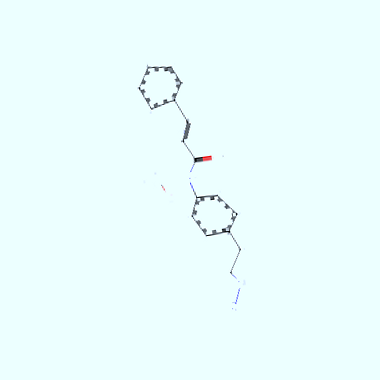 NNCCc1ccc(NC(=O)/C=C/c2ccccc2)cc1.O=S(=O)(O)O